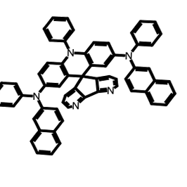 c1ccc(N(c2ccc3c(c2)C2(c4cc(N(c5ccccc5)c5ccc6ccccc6c5)ccc4N3c3ccccc3)c3cccnc3-c3ncccc32)c2ccc3ccccc3c2)cc1